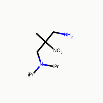 CC(C)N(CC(C)(CN)[N+](=O)[O-])C(C)C